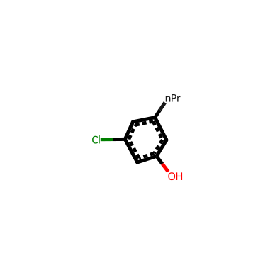 CCCc1cc(O)cc(Cl)c1